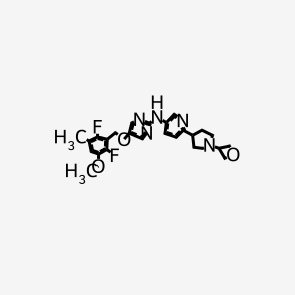 COc1cc(C)c(F)c(COc2cnc(Nc3ccc(C4CCN(C5COC5)CC4)nc3)nc2)c1F